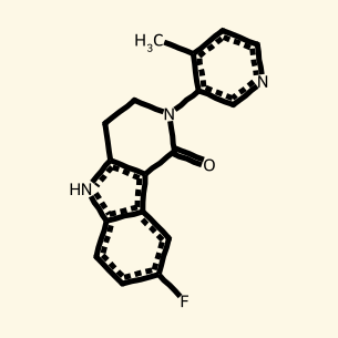 Cc1ccncc1N1CCc2[nH]c3ccc(F)cc3c2C1=O